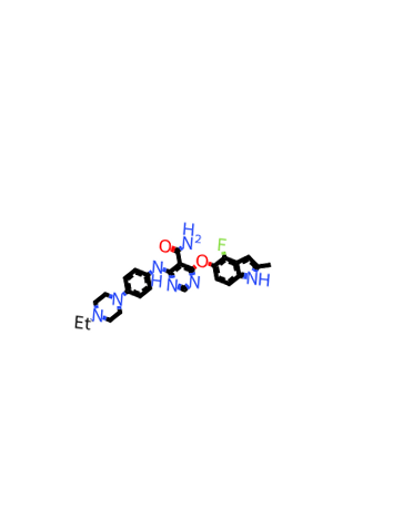 CCN1CCN(c2ccc(Nc3ncnc(Oc4ccc5[nH]c(C)cc5c4F)c3C(N)=O)cc2)CC1